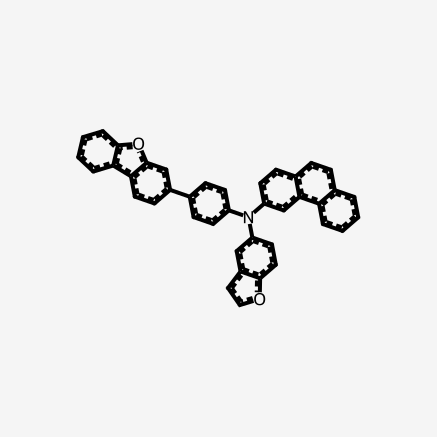 c1ccc2c(c1)ccc1ccc(N(c3ccc(-c4ccc5c(c4)oc4ccccc45)cc3)c3ccc4occc4c3)cc12